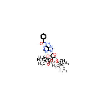 CC(C)(C)[Si](C)(C)OC[C@H]1O[C@@H](n2cnc3c(NC(=O)c4ccccc4)ncnc32)[C@H](O[Si](C)(C)C(C)(C)C)[C@@H]1OC=O